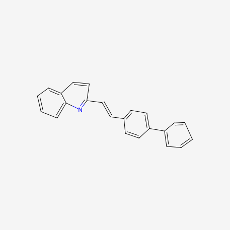 C(=Cc1ccc2ccccc2n1)c1ccc(-c2ccccc2)cc1